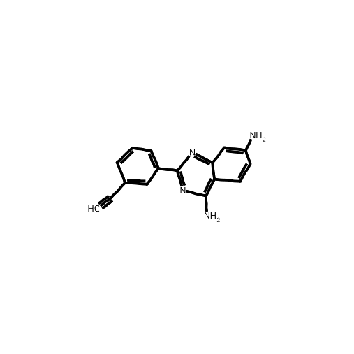 C#Cc1cccc(-c2nc(N)c3ccc(N)cc3n2)c1